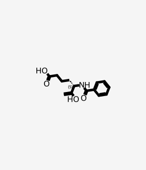 C=C(O)[C@H](CCCC(=O)O)NC(=O)c1ccccc1